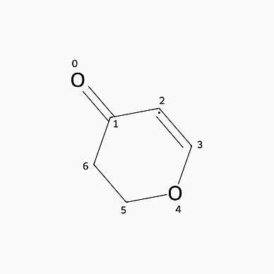 O=C1[C]=COCC1